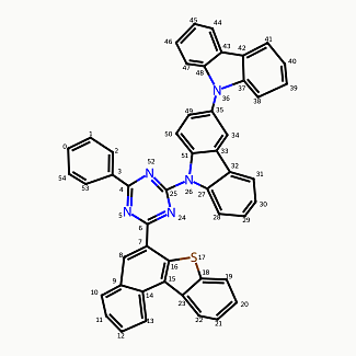 c1ccc(-c2nc(-c3cc4ccccc4c4c3sc3ccccc34)nc(-n3c4ccccc4c4cc(-n5c6ccccc6c6ccccc65)ccc43)n2)cc1